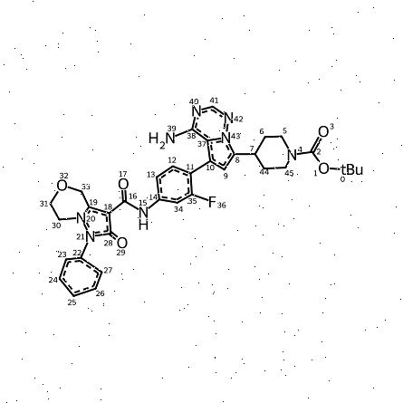 CC(C)(C)OC(=O)N1CCC(c2cc(-c3ccc(NC(=O)c4c5n(n(-c6ccccc6)c4=O)CCOC5)cc3F)c3c(N)ncnn23)CC1